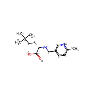 Cc1ccc(CN[C@@H](CCC(C)(C)C)C(=O)O)cn1